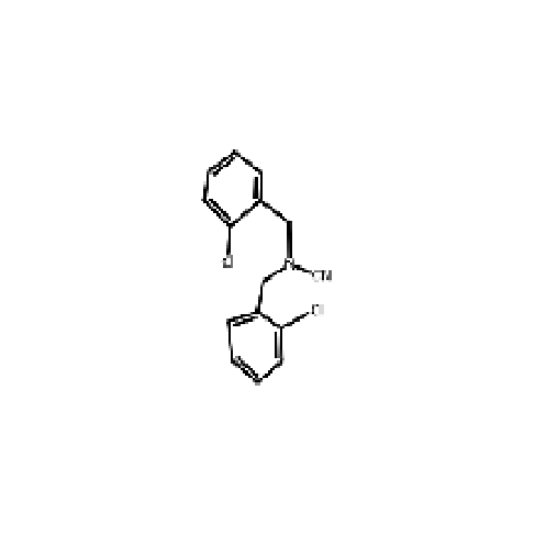 N#CN(Cc1ccccc1Cl)Cc1ccccc1Cl